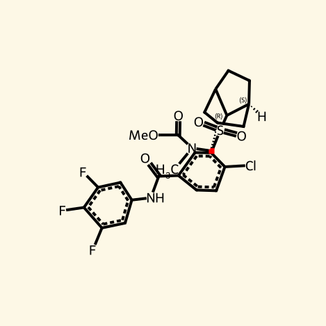 COC(=O)N(C)C[C@@H]1CC2CC[C@@H](C1)C2S(=O)(=O)c1cc(C(=O)Nc2cc(F)c(F)c(F)c2)ccc1Cl